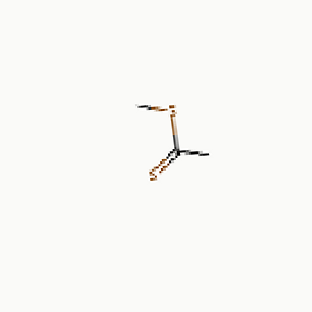 CSC(C)=S